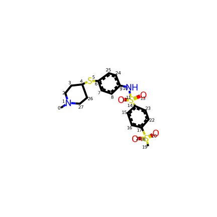 CN1CCC(Sc2ccc(NS(=O)(=O)c3ccc(S(C)(=O)=O)cc3)cc2)CC1